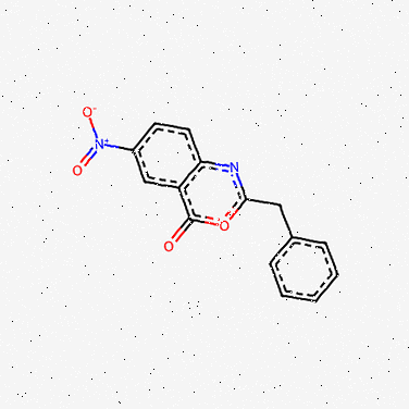 O=c1oc(Cc2ccccc2)nc2ccc([N+](=O)[O-])cc12